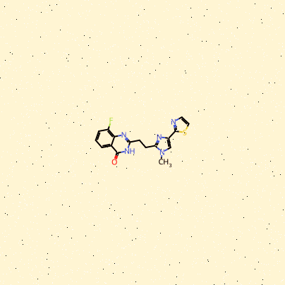 Cn1cc(-c2nccs2)nc1CCc1nc2c(F)cccc2c(=O)[nH]1